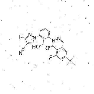 CC(C)(C)c1cc(F)c2c(=O)n(-c3cccc(-n4cc(C#N)c(I)n4)c3CO)ncc2c1